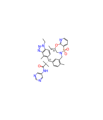 CC[C@@H]1CN(Cc2cc([C@@H](c3ccc4c(nnn4CC)c3C)C(C)(C)C(=O)Nc3cncnc3)ccc2C)S(=O)(=O)c2cccnc2O1